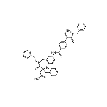 CN1c2ccc(NC(=O)c3ccc(C(=NN)C(=O)OCc4ccccc4)cc3)cc2CN(CCc2ccccc2)C(=O)C1(CC(=O)O)Cc1ccccc1